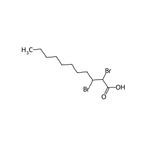 CCCCCCCCC(Br)C(Br)C(=O)O